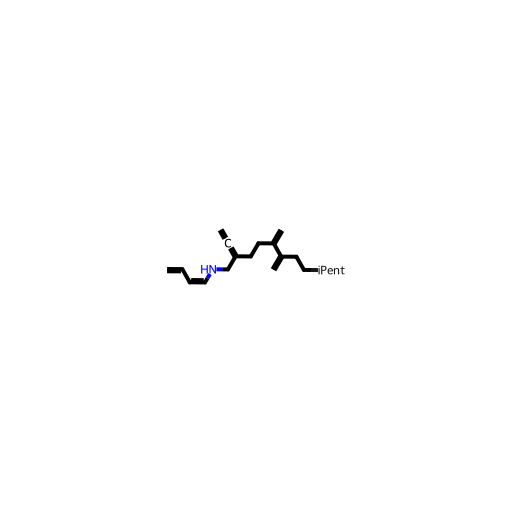 C=C=C(CCC(=C)C(=C)CCC(C)CCC)CN/C=C\C=C